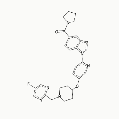 O=C(c1ccc2c(ccn2-c2ccc(OC3CCN(Cc4ncc(F)cn4)CC3)cn2)c1)N1CCCC1